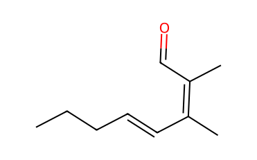 CCCC=CC(C)=C(C)C=O